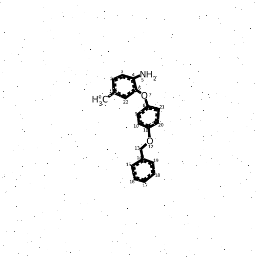 Cc1ccc(N)c(Oc2ccc(OCc3ccccc3)cc2)c1